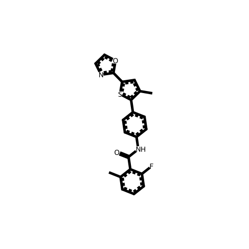 Cc1cc(-c2ncco2)sc1-c1ccc(NC(=O)c2c(C)cccc2F)cc1